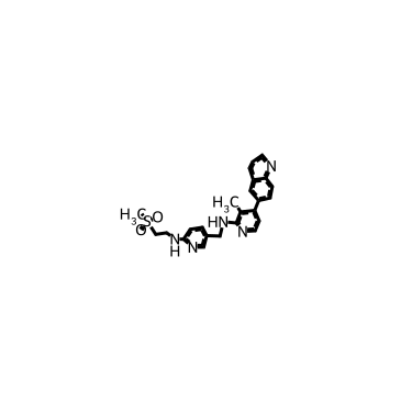 Cc1c(-c2ccc3ncccc3c2)ccnc1NCc1ccc(NCCS(C)(=O)=O)nc1